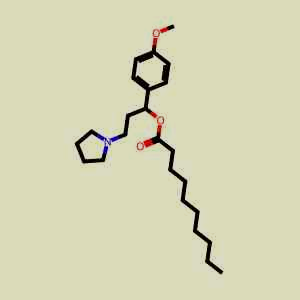 CCCCCCCCCC(=O)OC(CCN1CCCC1)c1ccc(OC)cc1